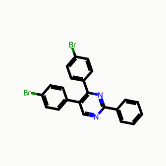 Brc1ccc(-c2cnc(-c3ccccc3)nc2-c2ccc(Br)cc2)cc1